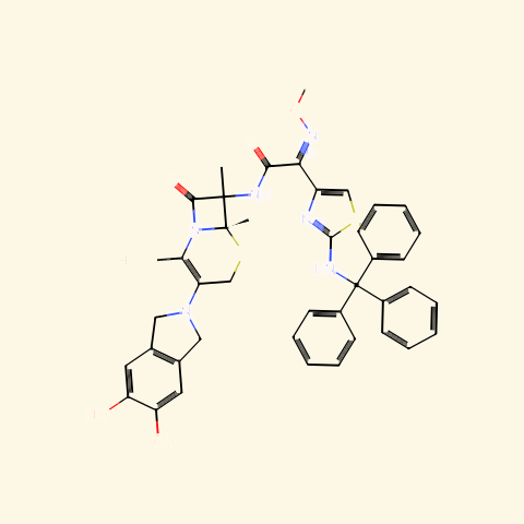 CCO/N=C(\C(=O)NC1(C)C(=O)N2C(C(=O)O)=C(N3Cc4cc(O)c(O)cc4C3)CS[C@H]21)c1csc(NC(c2ccccc2)(c2ccccc2)c2ccccc2)n1